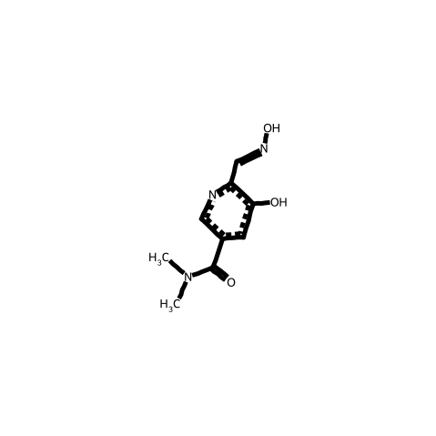 CN(C)C(=O)c1cnc(C=NO)c(O)c1